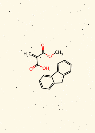 C=C(C(=O)O)C(=O)OC.c1ccc2c(c1)Cc1ccccc1-2